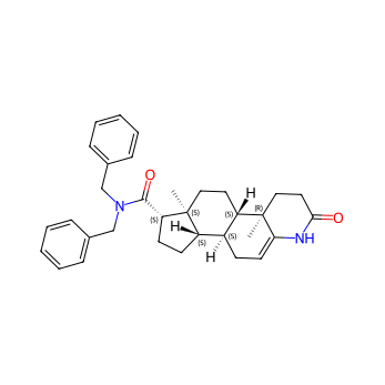 C[C@]12CC[C@H]3[C@@H](CC=C4NC(=O)CC[C@@]43C)[C@@H]1CC[C@@H]2C(=O)N(Cc1ccccc1)Cc1ccccc1